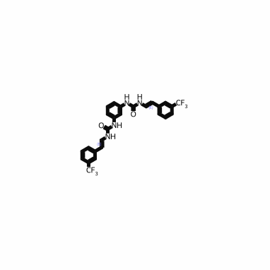 O=C(N/C=C/c1cccc(C(F)(F)F)c1)Nc1cccc(NC(=O)N/C=C/c2cccc(C(F)(F)F)c2)c1